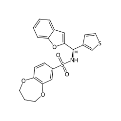 O=S(=O)(N[C@H](c1ccsc1)c1cc2ccccc2o1)c1ccc2c(c1)OCCCO2